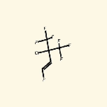 F/C=C/C(Cl)(C(F)(F)F)C(F)(F)F